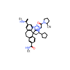 C=C(NCC)c1ccc2c(c1)CCc1cc(C(=O)NCC)ccc1C2(C[C@@H](NCC(=O)N1CCCC1C#N)C1CCCC1)c1nnn[nH]1